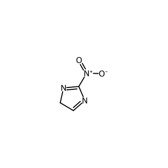 O=[N+]([O-])C1=NCC=N1